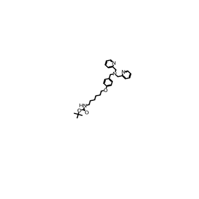 CC(C)(C)OC(=O)NCCCCCCOc1ccc(CN(Cc2ccccn2)Cc2ccccn2)cc1